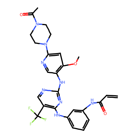 C=CC(=O)Nc1cccc(Nc2nc(Nc3cnc(N4CCN(C(C)=O)CC4)cc3OC)ncc2C(F)(F)F)c1